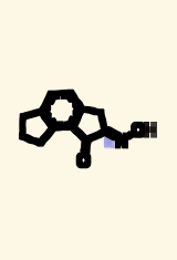 O=C1/C(=N/O)Cc2ccc3c(c21)CCC3